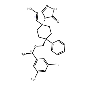 C[C@@H](OC[C@]1(c2ccccc2)CC[C@@](/C=N/O)(n2cn[nH]c2=O)CC1)c1cc(C(F)(F)F)cc(C(F)(F)F)c1